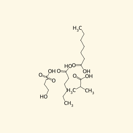 CC(C)C(=O)O.CCCCCC(=O)O.CCCCCCC(=O)O.O=S(=O)(O)CCO